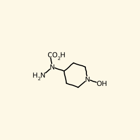 NN(C(=O)O)C1CCN(O)CC1